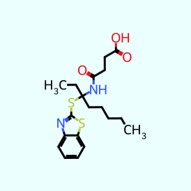 CCCCCC(CC)(NC(=O)CCC(=O)O)Sc1nc2ccccc2s1